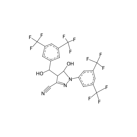 N#CC1=NN(c2cc(C(F)(F)F)cc(C(F)(F)F)c2)C(O)C1C(O)c1cc(C(F)(F)F)cc(C(F)(F)F)c1